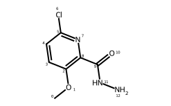 COc1ccc(Cl)nc1C(=O)NN